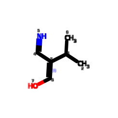 CC(C)/C(C=N)=C/O